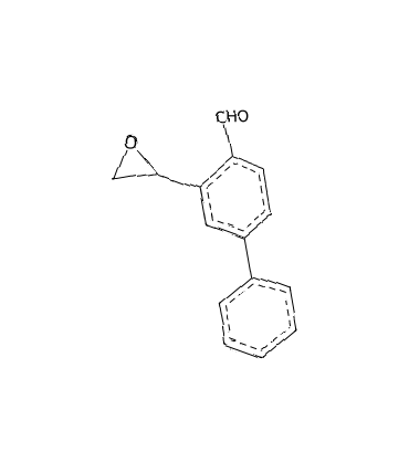 O=Cc1ccc(-c2ccccc2)cc1C1CO1